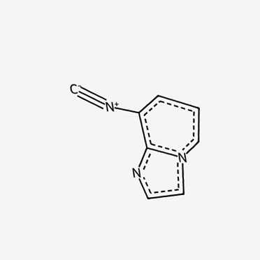 [C-]#[N+]c1cccn2ccnc12